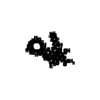 CC[C@H](C)[C@H](NC(=O)[C@@H](Cc1ccc2ccccc2c1)NC)C(=O)N[C@@H](CO)C(=O)N[C@H](CCC(N)=O)C(=O)N[C@@H](C(=O)N[C@H](C(=O)N[C@@H](CO)C(=O)N[C@H]1C(=O)N[C@@H](C)C(=O)NC2(CC2)C(=O)N[C@@H]([C@@H](C)CC)C(=O)N[C@H]1C)[C@@H](C)CC)[C@@H](C)CC